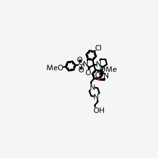 COc1ccc(S(=O)(=O)N2C(=O)C(c3cc(CN4CCN(CCO)CC4)ccc3OC)(N3CCC[C@H]3c3ncco3)c3cc(Cl)ccc32)cc1